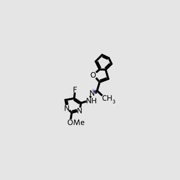 COc1ncc(F)c(N/N=C(\C)c2cc3ccccc3o2)n1